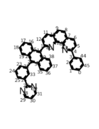 c1ccc(-c2ccc3ccc4ccc(-c5c6ccccc6c(-c6cccc(-c7ncccn7)c6)c6ccccc56)nc4c3n2)cc1